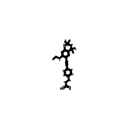 CCSc1cc2c(cc1C#Cc1ccc(CCC(=O)O)cc1)C(C)(C)CC(C)(C)O2